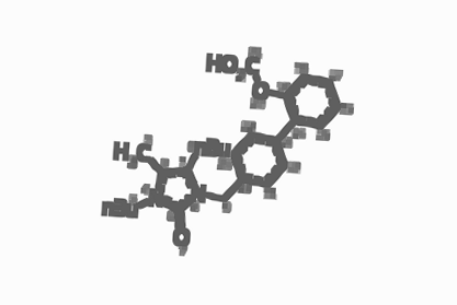 CCCCc1c(C)n(CCCC)c(=O)n1Cc1ccc(-c2ccccc2OC(=O)O)cc1